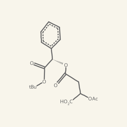 CC(=O)OC(CC(=O)O[C@H](C(=O)OC(C)(C)C)c1ccccc1)C(=O)O